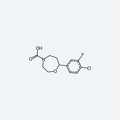 O=C(O)N1CCOC(c2ccc(Cl)c(F)c2)CC1